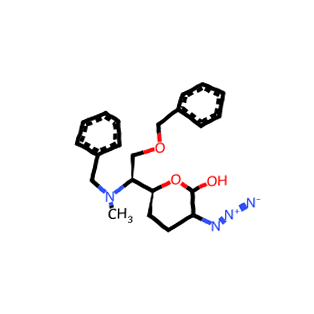 CN(Cc1ccccc1)[C@@H](COCc1ccccc1)[C@@H]1CCC(N=[N+]=[N-])C(O)O1